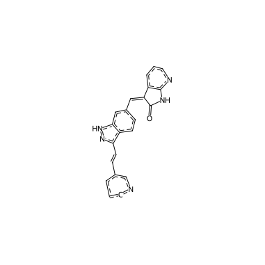 O=C1Nc2ncccc2C1=Cc1ccc2c(/C=C/c3cccnc3)n[nH]c2c1